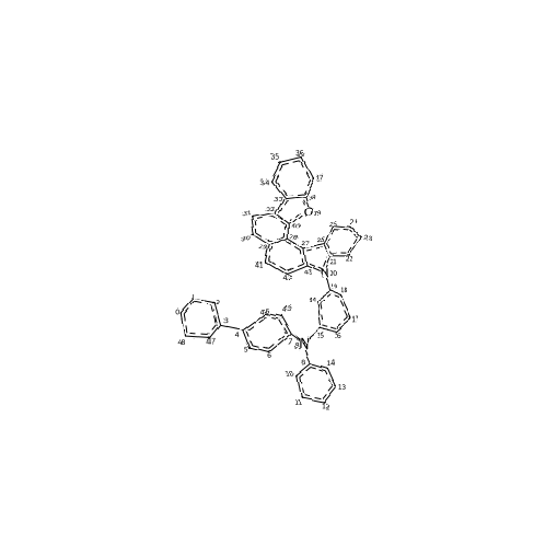 c1ccc(-c2ccc(N(c3ccccc3)c3cccc(-n4c5ccccc5c5c6c(ccc7c8ccccc8oc76)ccc54)c3)cc2)cc1